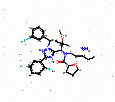 CC[C@@H](N)CCN(C(=O)[C@@H]1CCCO1)[C@@H](c1nc(-c2cc(F)ccc2F)nn1Cc1cccc(F)c1)C(C)(C)OC